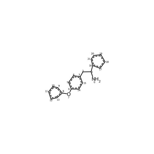 NC(Cc1ccc(Oc2ccccc2)cc1)c1ccccc1